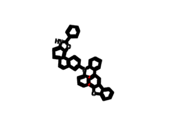 c1ccc(C2Nc3ccc4ccc5cc(N(c6ccccc6)c6ccccc6-c6ccc7oc8ccccc8c7c6)ccc5c4c3O2)cc1